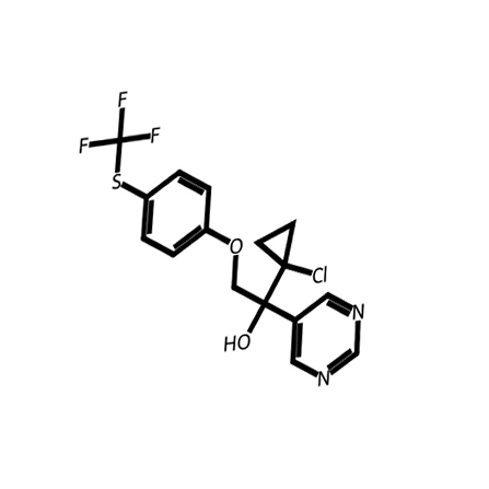 OC(COc1ccc(SC(F)(F)F)cc1)(c1cncnc1)C1(Cl)CC1